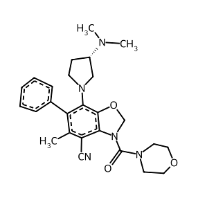 Cc1c(C#N)c2c(c(N3CC[C@H](N(C)C)C3)c1-c1ccccc1)OCN2C(=O)N1CCOCC1